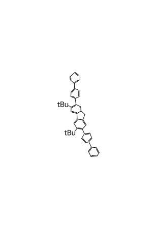 CC(C)(C)c1cc2c(cc1-c1ccc(-c3ccccc3)cc1)Cc1cc(-c3ccc(-c4ccccc4)cc3)c(C(C)(C)C)cc1-2